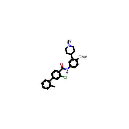 COc1ccc(NC(=O)c2ccc(-c3ccccc3C)cc2Cl)cc1C1CCN(C(C)C)CC1